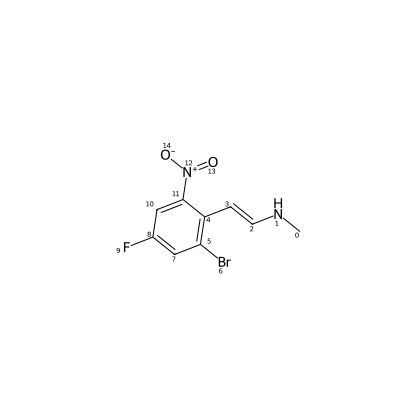 CN/C=C/c1c(Br)cc(F)cc1[N+](=O)[O-]